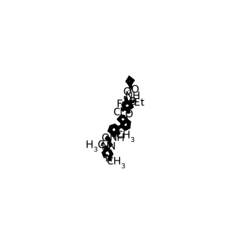 CCOc1cc(OC2CCc3c(-c4cccc(NC(=O)c5nc6c(n5C)CCN(C)C6)c4C)cccc32)c(Cl)c(F)c1CNOC(=O)C1CCC1